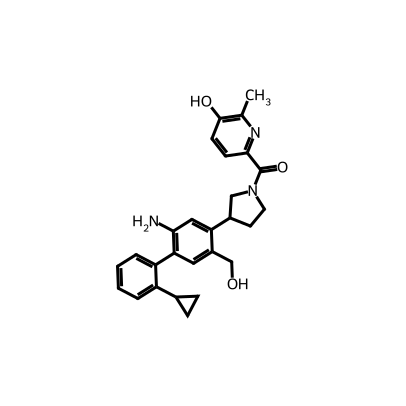 Cc1nc(C(=O)N2CCC(c3cc(N)c(-c4ccccc4C4CC4)cc3CO)C2)ccc1O